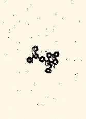 c1ccc(-c2nc3ccccc3c3c(-c4cccc5c4oc4ccccc45)c(-c4ccc(-c5cc(-c6ccccn6)nc(-c6ccccn6)c5)cc4)oc23)cc1